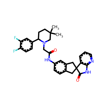 CC1(C)CCC(c2ccc(F)c(F)c2)N(CC(=O)Nc2ccc3c(c2)CC2(C3)C(=O)Nc3ncccc32)C1